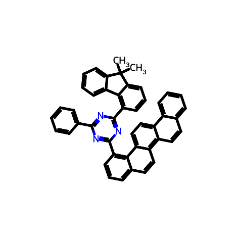 CC1(C)c2ccccc2-c2c(-c3nc(-c4ccccc4)nc(-c4cccc5ccc6c7ccc8ccccc8c7ccc6c45)n3)cccc21